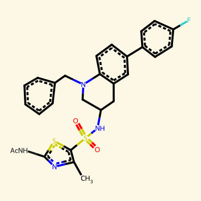 CC(=O)Nc1nc(C)c(S(=O)(=O)NC2Cc3cc(-c4ccc(F)cc4)ccc3N(Cc3ccccc3)C2)s1